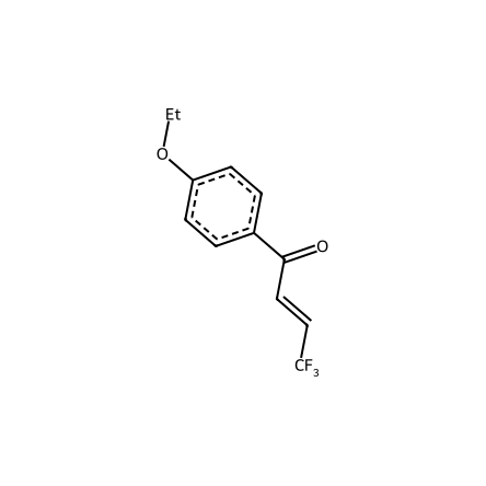 CCOc1ccc(C(=O)C=CC(F)(F)F)cc1